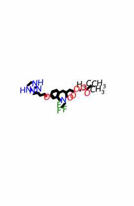 CC(C)(C)C(=O)OCOC(=O)CC1Cc2ccc(OCCc3cn4c(n3)NCCN4)cc2CN(CC(F)(F)F)C1=O